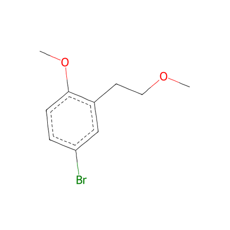 COCCc1cc(Br)ccc1OC